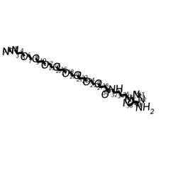 [N-]=[N+]=NCCOCCOCCOCCOCCOCCOCCOCCOCCC(=O)NCCCCn1ncc2c(N)ncnc21